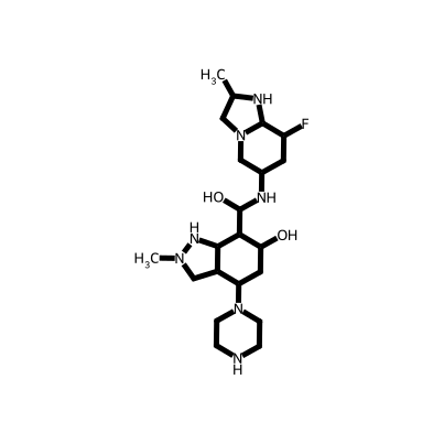 CC1CN2CC(NC(O)C3C(O)CC(N4CCNCC4)C4CN(C)NC43)CC(F)C2N1